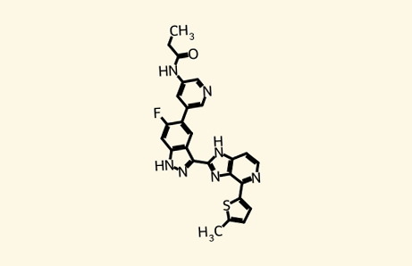 CCC(=O)Nc1cncc(-c2cc3c(-c4nc5c(-c6ccc(C)s6)nccc5[nH]4)n[nH]c3cc2F)c1